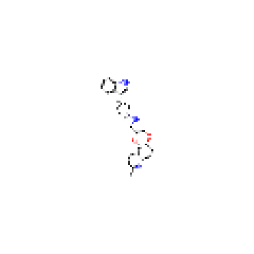 Cc1ccc2c3c(ccc2n1)OC[C@H](CN[C@H]1CC[C@H](c2c[nH]c4ccccc24)C1)O3